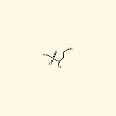 CC(C)N(CCO)S(=O)(=O)C(C)(C)C